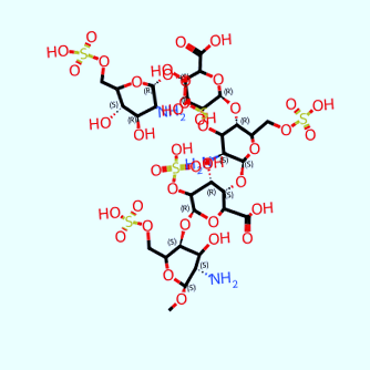 CO[C@H]1OC(COS(=O)(=O)O)[C@@H](O[C@@H]2OC(C(=O)O)[C@@H](O[C@@H]3OC(COS(=O)(=O)O)[C@@H](O[C@@H]4OC(C(=O)O)[C@@H](O[C@H]5OC(COS(=O)(=O)O)[C@@H](O)[C@H](O)C5N)[C@H](O)C4O)C(OSOOO)[C@@H]3N)[C@@H](O)C2OS(=O)(=O)O)C(O)[C@@H]1N